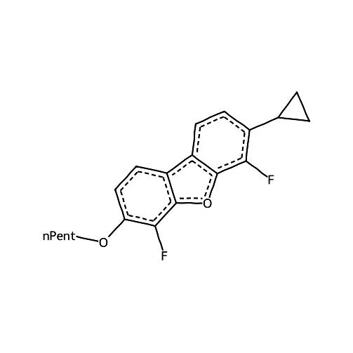 CCCCCOc1ccc2c(oc3c(F)c(C4CC4)ccc32)c1F